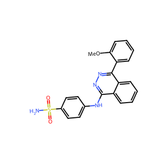 COc1ccccc1-c1nnc(Nc2ccc(S(N)(=O)=O)cc2)c2ccccc12